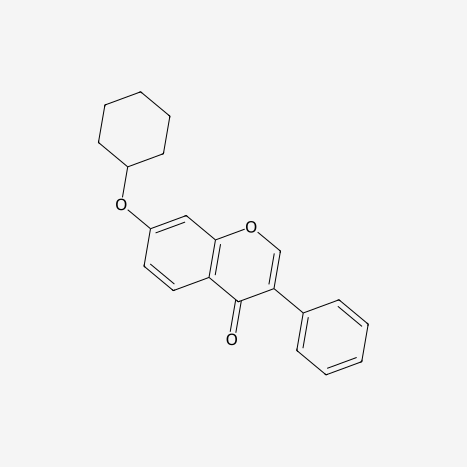 O=c1c(-c2ccccc2)coc2cc(OC3CCCCC3)ccc12